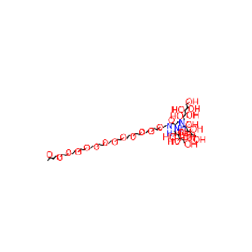 CC(=O)CCOCCOCCOCCOCCOCCOCCOCCOCCOCCOCCOCCOCCNC(=O)C(CN(C[C@H](O)[C@@H](O)[C@H](O)[C@H](O)CO)C[C@H](O)[C@@H](O)[C@H](O)[C@H](O)CO)NC[C@H](O)[C@@H](O)[C@H](O)[C@H](O)CO